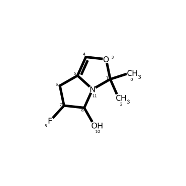 CC1(C)OC=C2CC(F)C(O)N21